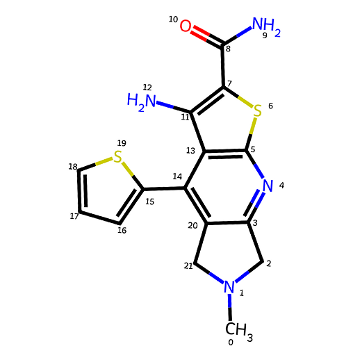 CN1Cc2nc3sc(C(N)=O)c(N)c3c(-c3cccs3)c2C1